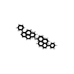 c1ccc(-c2ccc3ccc4c(Sc5ccc6ccc7c(-c8ccccc8)ccc8ccc5c6c87)ccc5ccc2c3c54)cc1